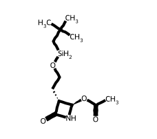 CC(=O)O[C@H]1NC(=O)[C@@H]1CCO[SiH2]CC(C)(C)C